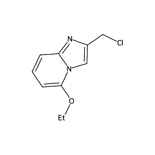 CCOc1cccc2nc(CCl)cn12